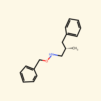 C[C@H](CNOCc1ccccc1)Cc1ccccc1